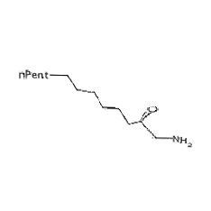 CCCCCCCCCCCC(=O)[CH]N